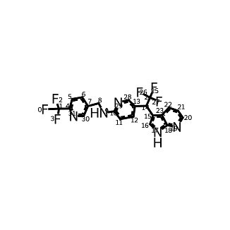 FC(F)(F)c1ccc(CNc2ccc(C(c3c[nH]c4ncccc34)C(F)(F)F)cn2)cn1